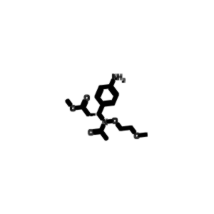 COCCON(C(C)=O)[C@H](CC(=O)OC)c1ccc(N)cc1